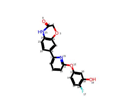 O=C1COc2cc(-c3cccc(Oc4ccc(F)c(O)c4)n3)ccc2N1